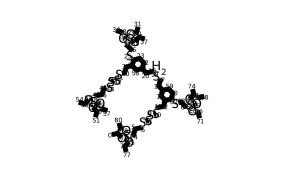 CCO[Si](CCCSSSSCCC1CC(CC[SH2]CCC2CCC(SCC[Si](OCC)(OCC)OCC)C(CCSSSSCCC[Si](OCC)(OCC)OCC)C2)CCC1SCC[Si](OCC)(OCC)OCC)(OCC)OCC